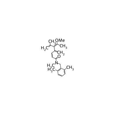 C=C(C)/C(C(=C)/C=C\C(=O)N(C)Cc1c(C)cccc1C)=C(/C)OC